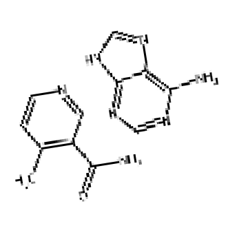 Cc1ccncc1C(N)=O.Nc1ncnc2[nH]cnc12